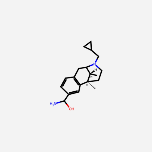 C[C@H]1C2Cc3ccc(C(N)O)cc3[C@]1(C)CCN2CC1CC1